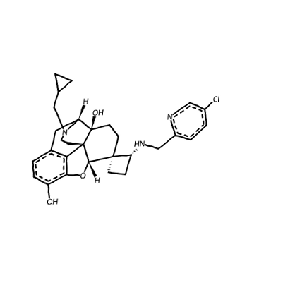 Oc1ccc2c3c1O[C@H]1[C@@]4(CC[C@H]4NCc4ccc(Cl)cn4)CC[C@@]4(O)[C@@H](C2)N(CC2CC2)CC[C@]314